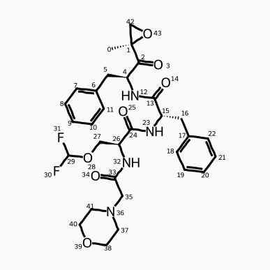 C[C@]1(C(=O)[C@H](Cc2ccccc2)NC(=O)[C@H](Cc2ccccc2)NC(=O)[C@H](COC(F)F)NC(=O)CN2CCOCC2)CO1